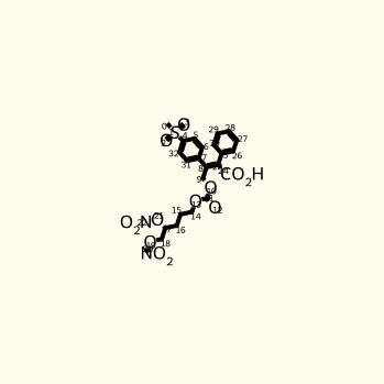 CS(=O)(=O)c1ccc(C(COC(=O)OCCCC(CO[N+](=O)[O-])O[N+](=O)[O-])=C(C(=O)O)c2ccccc2)cc1